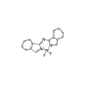 F[N+]1(F)n2cc3ccccc3c2N=C2c3ccccc3C=[N+]21